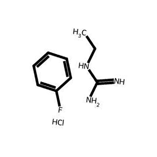 CCNC(=N)N.Cl.Fc1ccccc1